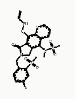 C=CPOc1c2c(c(N(C)S(C)(=O)=O)c3cccnc13)CN(Cc1ccc(F)cc1S(C)(=O)=O)C2=O